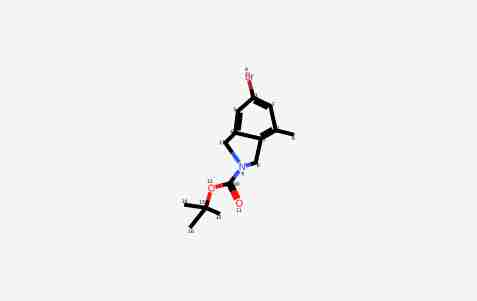 Cc1cc(Br)cc2c1CN(C(=O)OC(C)(C)C)C2